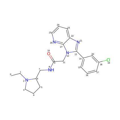 CCN1CCCC1CNC(=O)Cn1c(-c2cccc(Cl)c2)nc2cccnc21